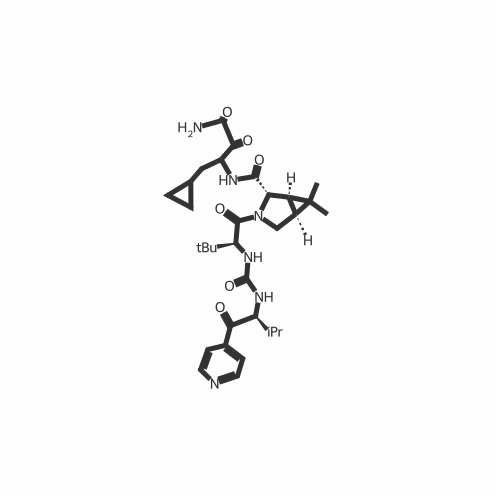 CC(C)[C@H](NC(=O)N[C@H](C(=O)N1C[C@H]2[C@@H]([C@H]1C(=O)NC(CC1CC1)C(=O)C(N)=O)C2(C)C)C(C)(C)C)C(=O)c1ccncc1